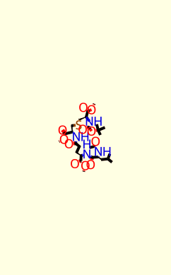 COC(=O)[C@H](CSC[C@@H](NC(=O)CC[C@@H](NC(=O)[C@H](CC(C)C)NC(C)=O)C(=O)OC)C(=O)OC)NC(=O)OC(C)(C)C